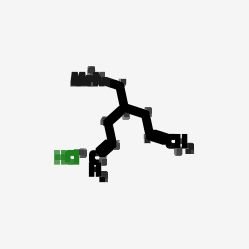 C=CCC(CC=C)CNC.Cl